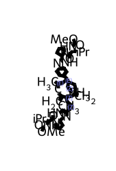 C=C1/C=C(/C/C=C\c2nc(C3CCCN3C(=O)C(NC(=O)OC)C(C)C)[nH]c2C)C(=C)CC/C(C)=C/C(c2ccc3nc(C4CCCN4C(=O)C(NC(=O)OC)C(C)C)[nH]c3c2)=C(\C=C/C)CC1